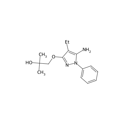 CCc1c(OCC(C)(C)O)nn(-c2ccccc2)c1N